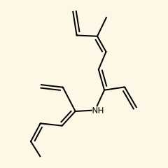 C=C/C(C)=C\C=C(/C=C)N/C(C=C)=C/C=C\C